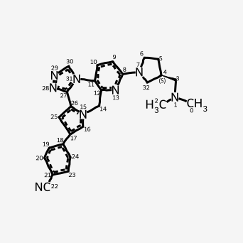 CN(C)C[C@@H]1CCN(c2ccc3c(n2)Cn2cc(-c4ccc(C#N)cc4)cc2-c2nncn2-3)C1